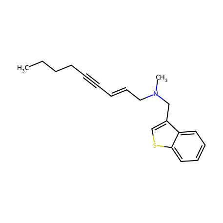 CCCCC#C/C=C/CN(C)Cc1csc2ccccc12